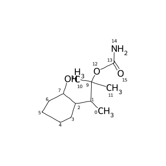 CC(C1CCCCC1O)C(C)(C)OC(N)=O